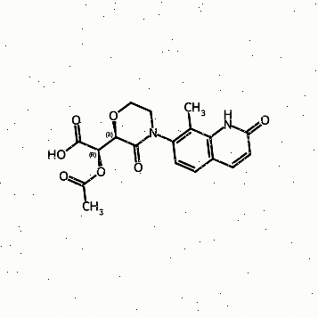 CC(=O)O[C@@H](C(=O)O)[C@H]1OCCN(c2ccc3ccc(=O)[nH]c3c2C)C1=O